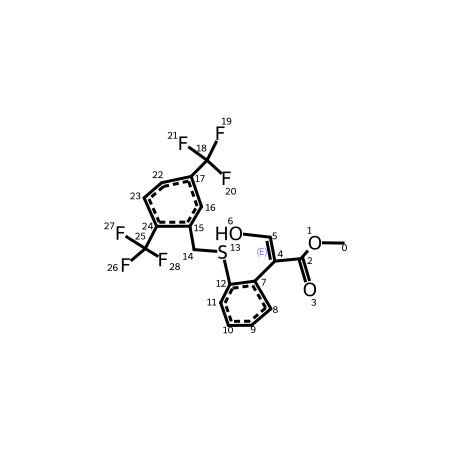 COC(=O)/C(=C/O)c1ccccc1SCc1cc(C(F)(F)F)ccc1C(F)(F)F